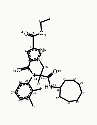 CCOC(=O)c1cc2n(n1)CC(C)(C(=O)NC1CCCCCCC1)N(c1cccc(C)c1C)C2=O